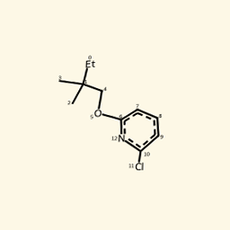 CCC(C)(C)COc1cccc(Cl)n1